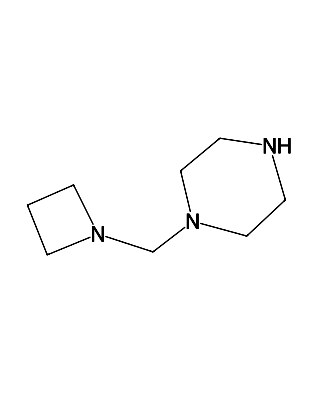 C1CN(CN2CCNCC2)C1